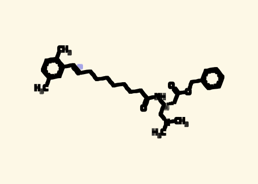 Cc1ccc(C)c(/C=C/CCCCCCCC(=O)N[C@H](CC(=O)OCc2ccccc2)CN(C)C)c1